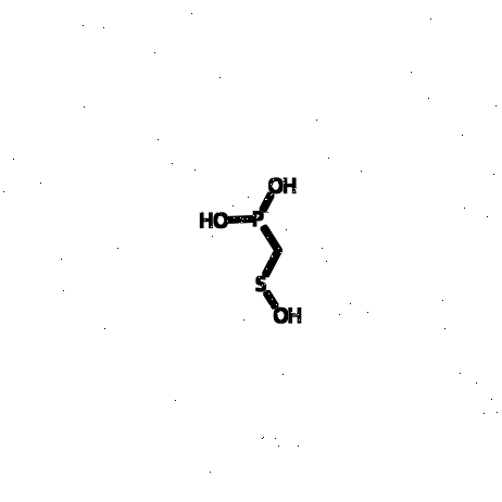 OSCP(O)O